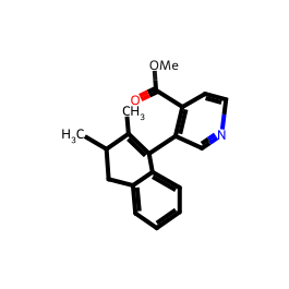 COC(=O)c1ccncc1C1=C(C)C(C)Cc2ccccc21